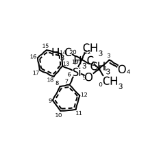 CC(C)(C=O)O[Si](c1ccccc1)(c1ccccc1)C(C)(C)C